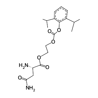 CC(C)c1cccc(C(C)C)c1OC(=O)OCCOC(=O)[C@@H](N)CC(N)=O